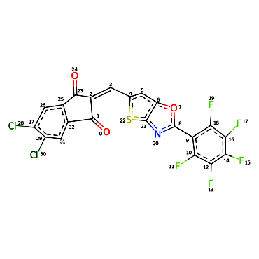 O=C1C(=Cc2cc3oc(-c4c(F)c(F)c(F)c(F)c4F)nc3s2)C(=O)c2cc(Cl)c(Cl)cc21